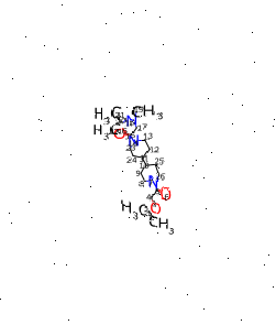 CC(C)OCC(=O)N1CCC(C2CCN(C(=O)CN(C)C(C)C)CC2)CC1